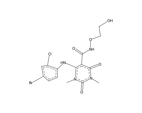 Cn1c(Nc2ccc(Br)cc2Cl)c(C(=O)NOCCO)c(=O)n(C)c1=O